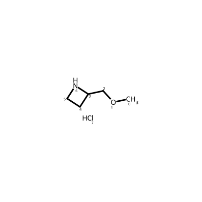 COCC1CCN1.Cl